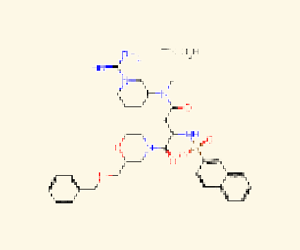 CC(=O)O.CN(C(=O)CC(NS(=O)(=O)c1ccc2ccccc2c1)C(=O)N1CCOC(COCc2ccccc2)C1)C1CCCN(C(=N)N)C1